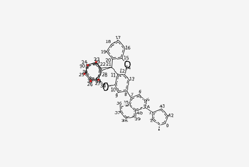 c1ccc(-c2ccc(-c3cc4c5c(c3)Oc3ccccc3C5(c3ccccc3)c3ccccc3O4)c3ccccc23)cc1